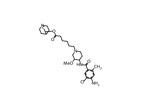 COC1CN(CCCCCC(=O)OC2CN3CCC2CC3)CCC1NC(=O)c1cc(Cl)c(N)cc1C